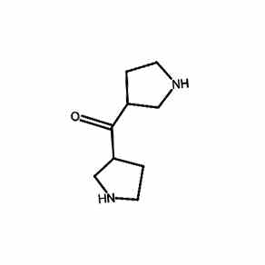 O=C(C1CCNC1)C1CCNC1